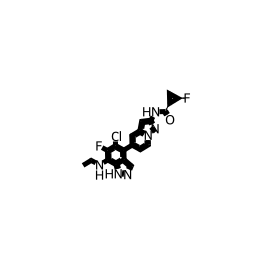 CCNc1c(F)c(Cl)c(-c2ccn3nc(NC(=O)[C@@H]4C[C@@H]4F)cc3c2)c2cn[nH]c12